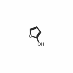 Oc1ccco1